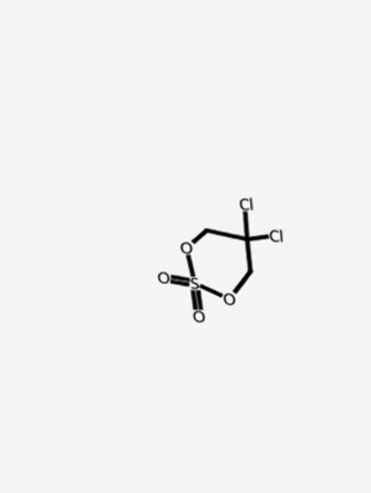 O=S1(=O)OCC(Cl)(Cl)CO1